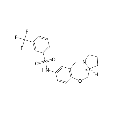 O=S(=O)(Nc1ccc2c(c1)CN1CCC[C@H]1CO2)c1cccc(C(F)(F)F)c1